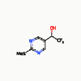 CSc1ncc(C(O)C(F)(F)F)cn1